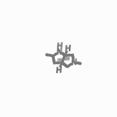 CC1C[C@H]2CN(C)C[C@H]2N1